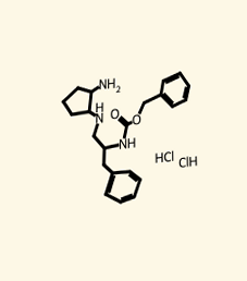 Cl.Cl.NC1CCCC1NCC(Cc1ccccc1)NC(=O)OCc1ccccc1